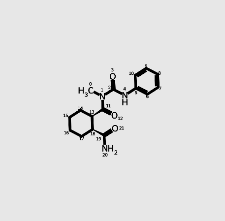 CN(C(=O)Nc1ccccc1)C(=O)[C@@H]1CCCC[C@@H]1C(N)=O